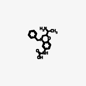 C[C@H](N)C1CN(Cc2ccccc2)c2cc(NC(=O)O)ccc2O1